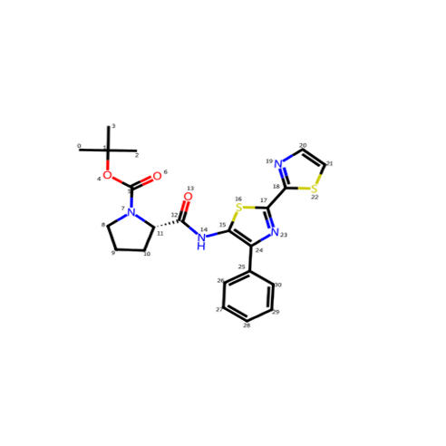 CC(C)(C)OC(=O)N1CCC[C@H]1C(=O)Nc1sc(-c2nccs2)nc1-c1ccccc1